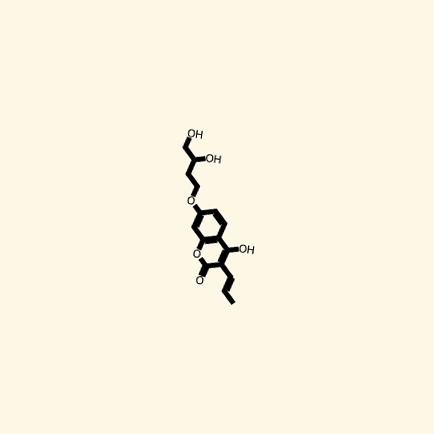 CC=Cc1c(O)c2ccc(OCCC(O)CO)cc2oc1=O